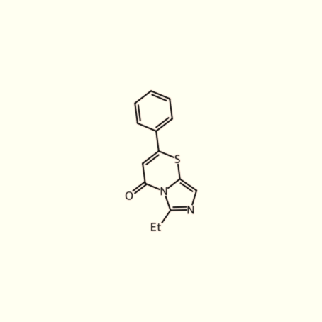 CCc1ncc2sc(-c3ccccc3)cc(=O)n12